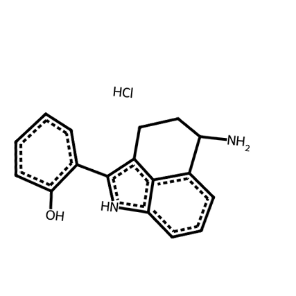 Cl.NC1CCc2c(-c3ccccc3O)[nH]c3cccc1c23